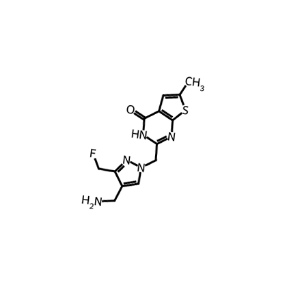 Cc1cc2c(=O)[nH]c(Cn3cc(CN)c(CF)n3)nc2s1